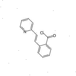 O=C(Cl)c1ccccc1C=Cc1ccccn1